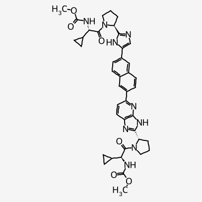 COC(=O)N[C@H](C(=O)N1CCC[C@H]1c1ncc(-c2ccc3cc(-c4ccc5nc([C@@H]6CCCN6C(=O)[C@@H](NC(=O)OC)C6CC6)[nH]c5n4)ccc3c2)[nH]1)C1CC1